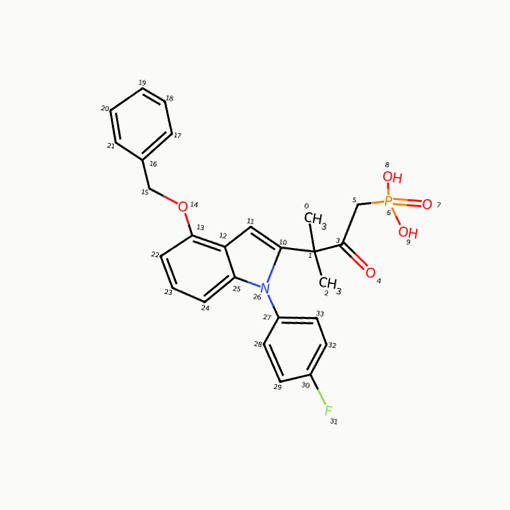 CC(C)(C(=O)CP(=O)(O)O)c1cc2c(OCc3ccccc3)cccc2n1-c1ccc(F)cc1